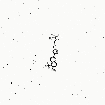 C[Si](C)(C)CCOCn1cc(-c2ccc3c(C(F)(F)F)c(N)ccc3n2)nn1